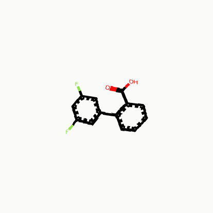 O=C(O)c1ccccc1-c1cc(F)cc(F)c1